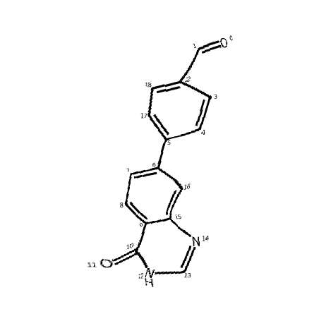 O=Cc1ccc(-c2ccc3c(=O)[nH]cnc3c2)cc1